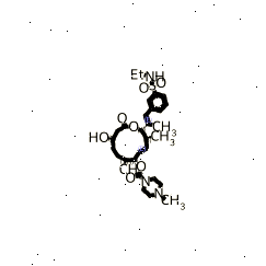 CCNS(=O)(=O)c1cccc(/C=C(\C)[C@H]2OC(=O)C[C@H](O)CC[C@H](C)[C@@H](OC(=O)N3CCN(C)CC3)/C=C/[C@@H]2C)c1